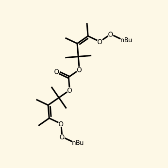 CCCCOO/C(C)=C(/C)C(C)(C)OC(=O)OC(C)(C)/C(C)=C(/C)OOCCCC